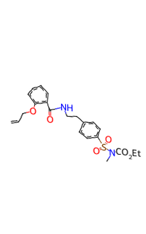 C=CCOc1ccccc1C(=O)NCCc1ccc(S(=O)(=O)N(C)C(=O)OCC)cc1